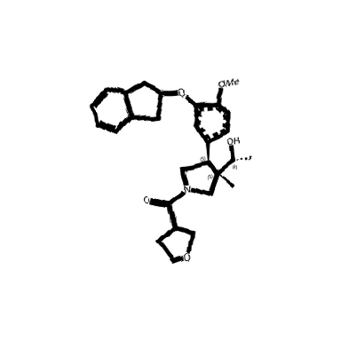 COc1ccc([C@@H]2CN(C(=O)C3CCOC3)C[C@@]2(C)[C@@H](C)O)cc1OC1CC2C=CC=CC2C1